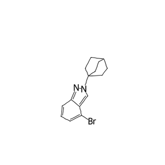 Brc1cccc2nn(C34CCC(CC3)CC4)cc12